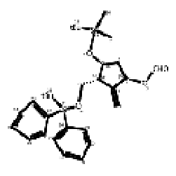 C=C1[C@H](OC=O)C[C@H](O[Si](C)(C)C(C)(C)C)[C@H]1CO[Si](c1ccccc1)(c1ccccc1)C(C)(C)C